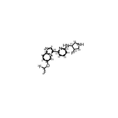 FC(F)Oc1ccc2ncc(-c3cccc(NC4CNCC4F)n3)n2c1